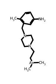 Cc1ccc(N)cc1CN1CCN(CC[As](C)C)CC1